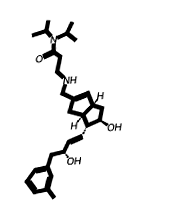 Cc1cccc(C[C@@H](O)C=C[C@@H]2[C@H]3CC(CNCCC(=O)N(C(C)C)C(C)C)=C[C@H]3C[C@H]2O)c1